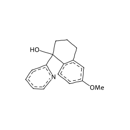 COc1ccc2c(c1)CCCC2(O)c1ccccn1